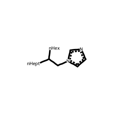 CCCCCCCC(CCCCCC)Cn1ccnc1